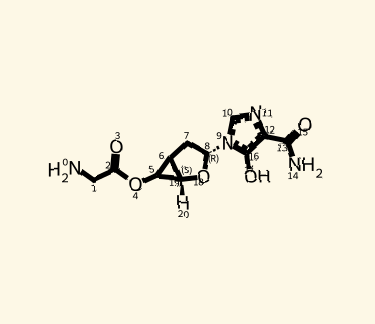 NCC(=O)OC1C2C[C@H](n3cnc(C(N)=O)c3O)O[C@@H]21